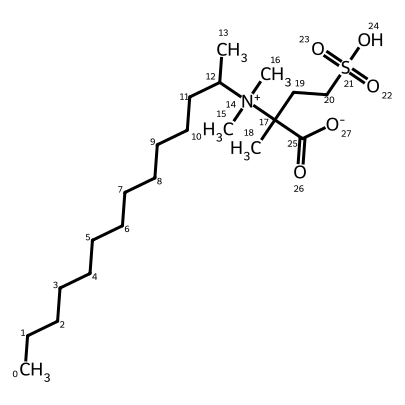 CCCCCCCCCCCCC(C)[N+](C)(C)C(C)(CCS(=O)(=O)O)C(=O)[O-]